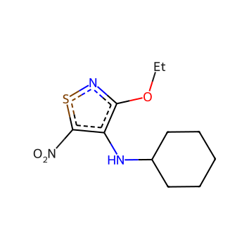 CCOc1nsc([N+](=O)[O-])c1NC1CCCCC1